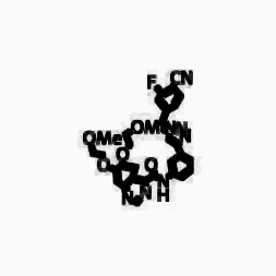 COCCOc1cc2ncnc(C(=O)Nc3cccc(-c4cn(Cc5ccc(C#N)c(F)c5)nn4)c3)c2cc1OCCOC